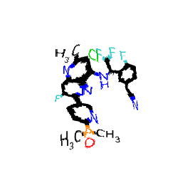 Cc1nc2cc(F)c(-c3ccc(P(C)(C)=O)nc3)nc2c(N[C@H](c2cc(C#N)ccc2F)C(F)F)c1Cl